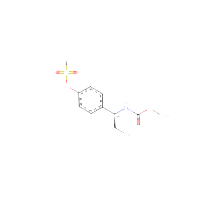 CC(C)(C)OC(=O)N[C@@H](CO)c1ccc(OS(=O)(=O)C(F)(F)F)cc1